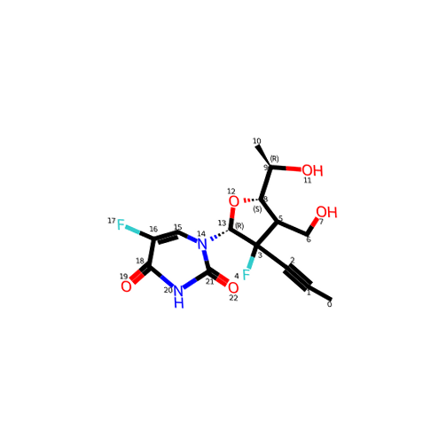 CC#CC1(F)C(CO)[C@@H]([C@@H](C)O)O[C@H]1n1cc(F)c(=O)[nH]c1=O